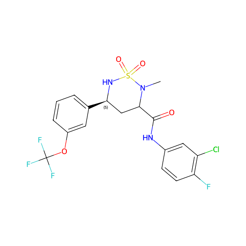 CN1C(C(=O)Nc2ccc(F)c(Cl)c2)C[C@@H](c2cccc(OC(F)(F)F)c2)NS1(=O)=O